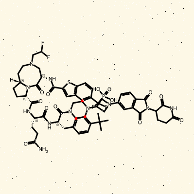 CC(C)(C)c1ccc(C[C@H](NC(=O)[C@H](CCC(N)=O)NC(=O)[C@@H]2CC[C@@H]3CCN(CC(F)F)C[C@H](NC(=O)c4cc5cc(C(F)(F)P(=O)(O)O)ccc5s4)C(=O)N32)C(=O)N2CCN(C3CN(c4ccc5c(c4)C(=O)N(C4CCC(=O)NC4=O)C5=O)C3)CC2)cc1